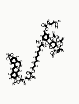 CNCCN(C)C(=O)OCc1ccc(O[C@@H]2O[C@H](C(=O)OC)[C@@H](OC(C)=O)[C@H](OC(C)=O)[C@H]2OC(C)=O)c(NC(=O)CCCCCCCCCOC(=O)N(C)CCN(C)C(=O)Oc2c(OC)ccc3cc4[n+](cc23)CCc2cc3c(cc2-4)OCO3)c1